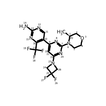 C[C@H]1COCCN1c1nc(-c2cnc(N)nc2C(F)(F)F)cc(N2CC(F)(F)C2)n1